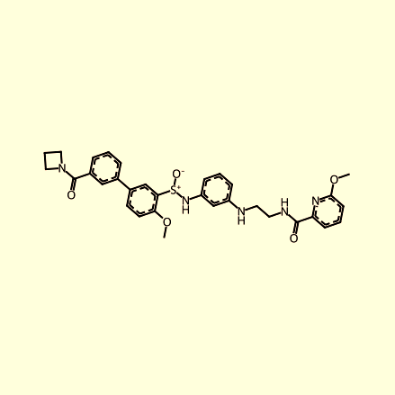 COc1cccc(C(=O)NCCNc2cccc(N[S+]([O-])c3cc(-c4cccc(C(=O)N5CCC5)c4)ccc3OC)c2)n1